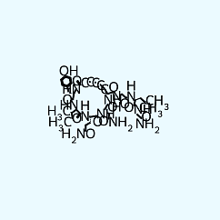 CC[C@H](C)[C@@H]1NC(=O)[C@H](Cc2ccc(O)cc2)NC(=O)CCCCCC(C(=O)NCC(=O)N[C@@H](CC(C)C)C(=O)NCC(N)=O)NC(=O)[C@H](CC(N)=O)NC(=O)[C@H](CCC(N)=O)NC1=O